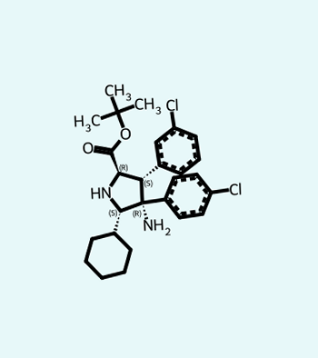 CC(C)(C)OC(=O)[C@@H]1N[C@@H](C2CCCCC2)[C@](N)(c2ccc(Cl)cc2)[C@H]1c1cccc(Cl)c1